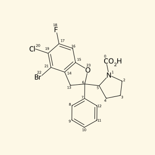 O=C(O)N1CCCC1C1(c2ccccc2)Cc2c(cc(F)c(Cl)c2Br)O1